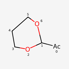 CC(=O)C1OCCCO1